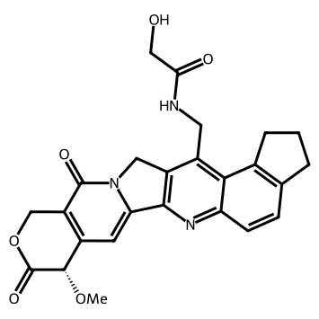 CO[C@@H]1C(=O)OCc2c1cc1n(c2=O)Cc2c-1nc1ccc3c(c1c2CNC(=O)CO)CCC3